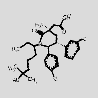 CCC(CCCC(C)(C)O)N1C(=O)[C@@](C)(CC(=O)O)C[C@H](c2cccc(Cl)c2)C1c1ccc(Cl)cc1